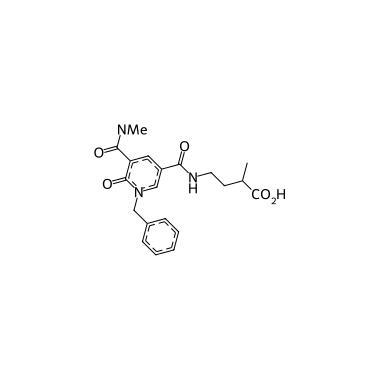 CNC(=O)c1cc(C(=O)NCCC(C)C(=O)O)cn(Cc2ccccc2)c1=O